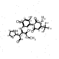 COC(=O)C(=Nc1cc(-n2c(=O)cc(C(F)(F)F)n(C)c2=O)c(F)cc1Cl)C(C=O)C1NCCS1